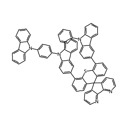 c1ccc(-n2c3ccccc3c3cc(-c4cccc5c4Sc4c(-c6ccc7c(c6)c6ccccc6n7-c6ccc(-n7c8ccccc8c8ccccc87)cc6)cccc4C54c5cccnc5-c5ncccc54)ccc32)cc1